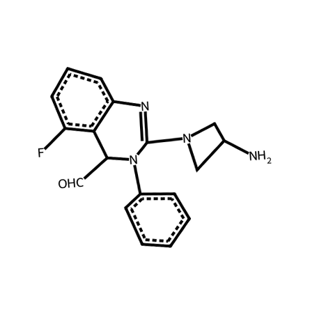 NC1CN(C2=Nc3cccc(F)c3C(C=O)N2c2ccccc2)C1